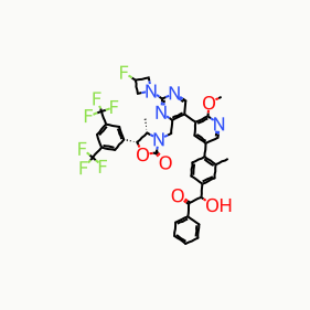 COc1ncc(-c2ccc(C(O)C(=O)c3ccccc3)cc2C)cc1-c1cnc(N2CC(F)C2)nc1CN1C(=O)O[C@H](c2cc(C(F)(F)F)cc(C(F)(F)F)c2)[C@@H]1C